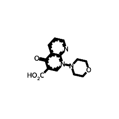 O=C(O)c1cn(N2CCOCC2)c2ncccc2c1=O